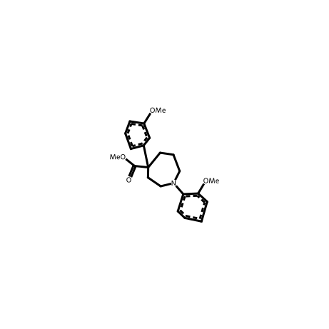 COC(=O)C1(c2cccc(OC)c2)CCCN(c2ccccc2OC)CC1